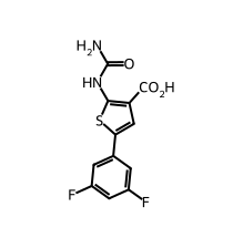 NC(=O)Nc1sc(-c2cc(F)cc(F)c2)cc1C(=O)O